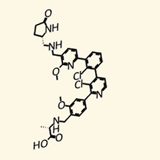 COc1cc(-c2nccc(-c3cccc(-c4ccc(CNC[C@@H]5CCC(=O)N5)c(OC)n4)c3Cl)c2Cl)ccc1CN[C@@H](C)C(=O)O